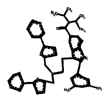 Cc1cc(C)cc(-c2[nH]c3ccc(C(=O)N(C(C)C)C(C)C)cc3c2CCN(Cc2ccc(-c3cccnc3)s2)Cc2ccc(-c3cccnc3)s2)c1